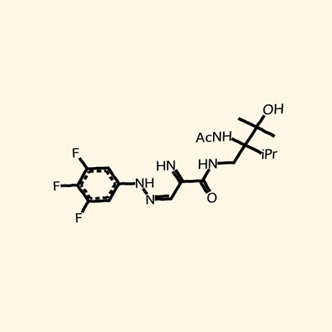 CC(=O)NC(CNC(=O)C(=N)/C=N\Nc1cc(F)c(F)c(F)c1)(C(C)C)C(C)(C)O